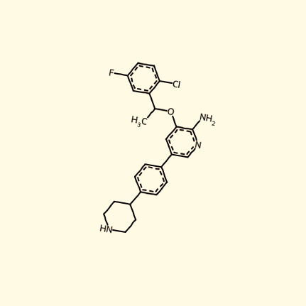 CC(Oc1cc(-c2ccc(C3CCNCC3)cc2)cnc1N)c1cc(F)ccc1Cl